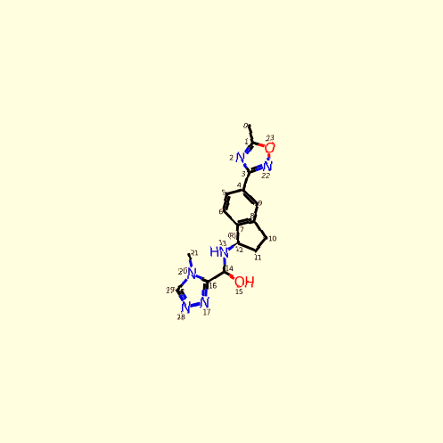 Cc1nc(-c2ccc3c(c2)CC[C@H]3NC(O)c2nncn2C)no1